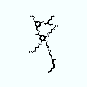 CCC/C=C\C=C(/C)OCCOOCCOc1c(OOCCOO)cc(C(=O)OCc2cc(OCC(CC)CCCC)cc(OSCl)c2)cc1OOCCOO